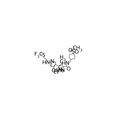 CCn1nc(C(=O)NCC2CCC(S(C)(=O)=O)CC2)c(C)c1-c1cnc(NCCSC(F)(F)F)cc1OC